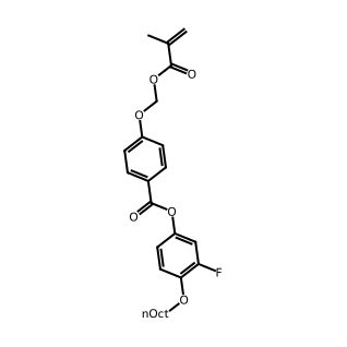 C=C(C)C(=O)OCOc1ccc(C(=O)Oc2ccc(OCCCCCCCC)c(F)c2)cc1